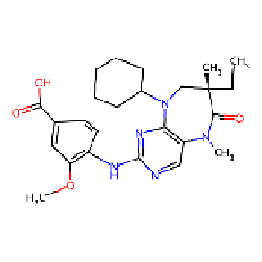 CC[C@@]1(C)CN(C2CCCCC2)c2nc(Nc3ccc(C(=O)O)cc3OC)ncc2N(C)C1=O